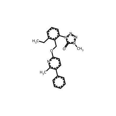 CCc1cccc(-n2nnn(C)c2=O)c1COc1ccc(-c2ccccc2)c(C)n1